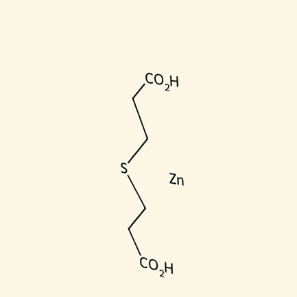 O=C(O)CCSCCC(=O)O.[Zn]